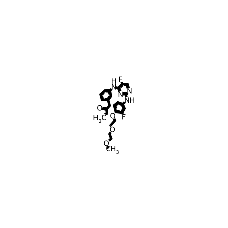 C=CC(=O)Cc1cccc(Nc2nc(Nc3ccc(OCCOCCOC)c(F)c3)ncc2F)c1